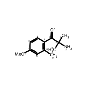 COc1ccc(C(=O)C(C)(C)N)c(C)c1